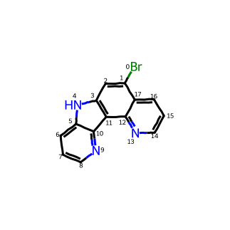 Brc1cc2[nH]c3cccnc3c2c2ncccc12